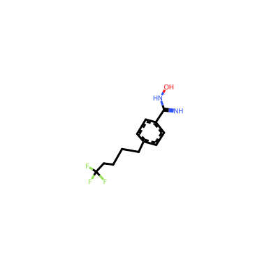 N=C(NO)c1ccc(CCCCC(F)(F)F)cc1